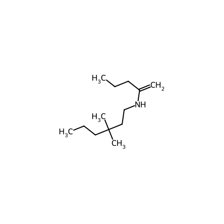 C=C(CCC)NCCC(C)(C)CCC